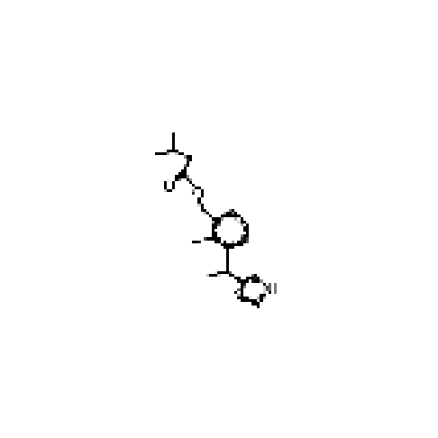 Cc1c(COC(=O)CC(C)C)cccc1C(C)c1c[nH]cn1